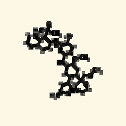 COCC1(c2cc(OC)c(Nc3ncc(Br)c(Nc4ccc5nccnc5c4P(C)(C)=O)n3)cc2-c2cnn(C)c2)CNCCO1